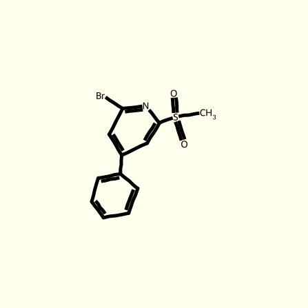 CS(=O)(=O)c1cc(-c2ccccc2)cc(Br)n1